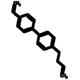 C=CCCc1ccc(-c2ccc(C=C)cc2)cc1